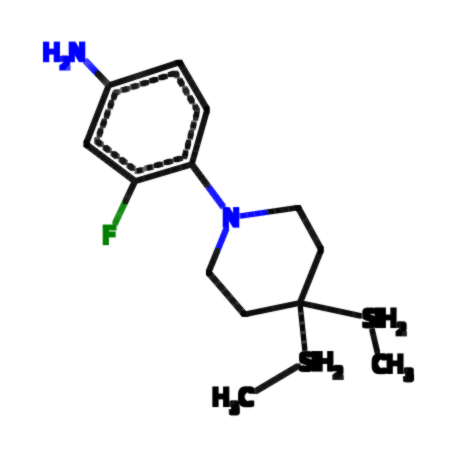 C[SiH2]C1([SiH2]C)CCN(c2ccc(N)cc2F)CC1